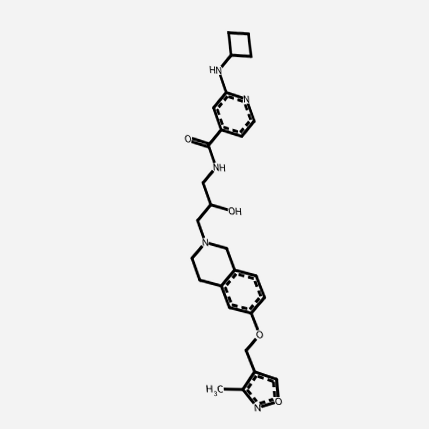 Cc1nocc1COc1ccc2c(c1)CCN(CC(O)CNC(=O)c1ccnc(NC3CCC3)c1)C2